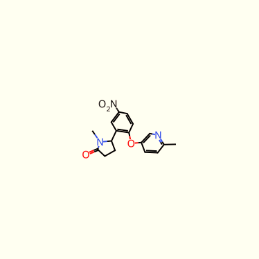 Cc1ccc(Oc2ccc([N+](=O)[O-])cc2C2CCC(=O)N2C)cn1